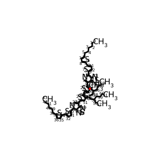 CCCCCCc1ccc(-c2ccc(-c3ncc(-c4cc5c(s4)-c4sc(-c6cnc(-c7ccc(-c8ccc(CCCCCC)s8)s7)c7nsnc67)cc4[Si]5(CC(CC)CCCC)CC(CC)CCCC)c4nsnc34)s2)s1